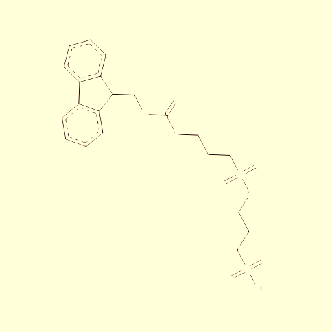 O=C(NCCCS(=O)(=O)NCCCS(=O)(=O)O)OCC1c2ccccc2-c2ccccc21